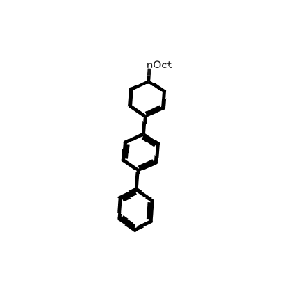 CCCCCCCCC1CC=C(c2ccc(-c3ccccc3)cc2)CC1